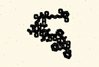 CC[C@H](C)[C@@H]([C@@H](CC(=O)N1CCC[C@H]1[C@H](OC)[C@@H](C)C(=O)N[C@@H](Cc1ccccc1)C(=O)N1CCCCO1)OC)N(C)[C@H](C(=O)NC(=O)[C@H](C(C)C)N(C)CCCC(=O)N(C)NC(=O)CCCCCN1C(=O)C=CC1=O)C(C)C